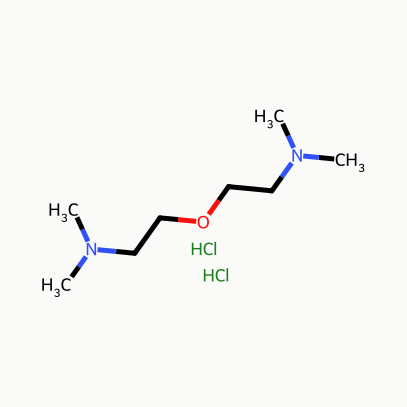 CN(C)CCOCCN(C)C.Cl.Cl